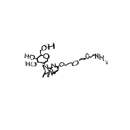 NCCOCCOCCOc1ccnc(N[C@H]2CO[C@H](CO)[C@H](O)[C@@H]2O)n1